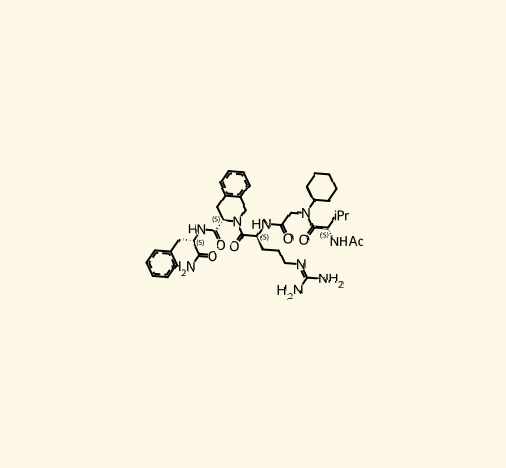 CC(=O)N[C@H](C(=O)N(CC(=O)N[C@@H](CCCN=C(N)N)C(=O)N1Cc2ccccc2C[C@H]1C(=O)N[C@@H](Cc1ccccc1)C(N)=O)C1CCCCC1)C(C)C